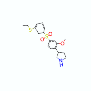 CCSC1=CC=CC(S(=O)(=O)c2ccc(C3CCNC3)c(OC)c2)C1